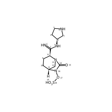 N=C(N[C@H]1CCNC1)[C@@H]1CC[C@@H]2CN1C(=O)N2OS(=O)(=O)O